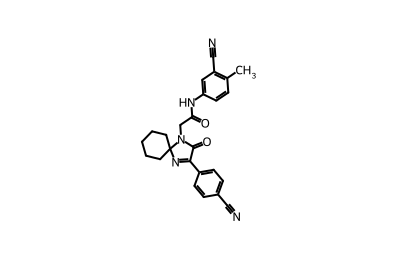 Cc1ccc(NC(=O)CN2C(=O)C(c3ccc(C#N)cc3)=NC23CCCCC3)cc1C#N